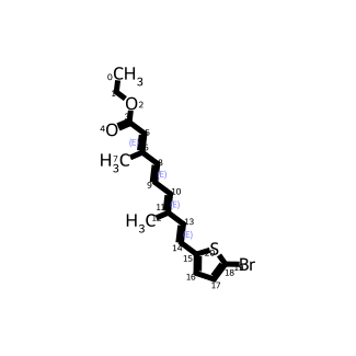 CCOC(=O)/C=C(C)/C=C/C=C(C)/C=C/c1ccc(Br)s1